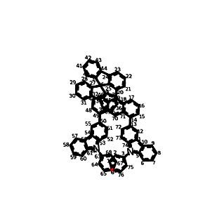 c1ccc(-n2c3ccccc3c3cc(-c4cccc5c(-c6cccc7c6C6(c8ccccc8-c8ccccc86)c6ccccc6-7)c6cccc(-c7ccc8c(c7)c7ccccc7n8-c7ccccc7)c6cc45)ccc32)cc1